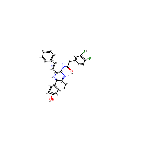 O=C(Cc1ccc(F)c(F)c1)Nc1nc2c(nc1/C=C/c1ccccc1)-c1ccc(O)cc1CC2